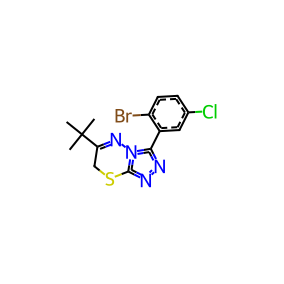 CC(C)(C)C1=Nn2c(nnc2-c2cc(Cl)ccc2Br)SC1